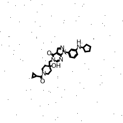 O=C(C1CC1)N1CCC(O)(Cn2cnc3c(cnn3-c3cccc(NC4CCCC4)c3)c2=O)CC1